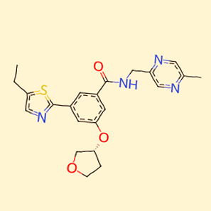 CCc1cnc(-c2cc(O[C@@H]3CCOC3)cc(C(=O)NCc3cnc(C)cn3)c2)s1